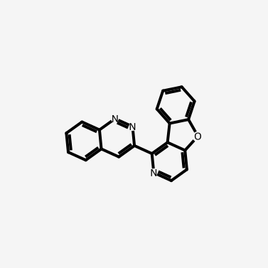 c1ccc2nnc(-c3nccc4oc5ccccc5c34)cc2c1